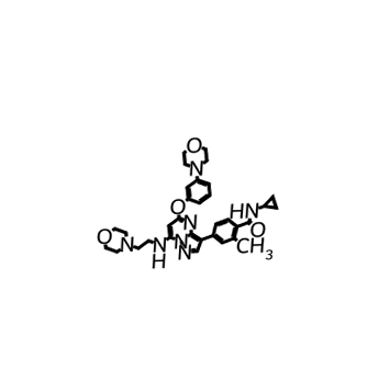 Cc1cc(-c2cnn3c(NCCN4CCOCC4)cc(Oc4cccc(N5CCOCC5)c4)nc23)ccc1C(=O)NC1CC1